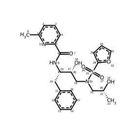 Cc1cccc(C(=O)N[C@@H](Cc2ccccc2)[C@H](O)CN(C[C@@H](C)O)S(=O)(=O)c2ccco2)n1